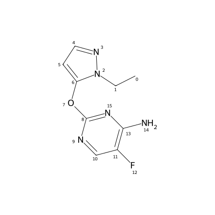 CCn1nccc1Oc1ncc(F)c(N)n1